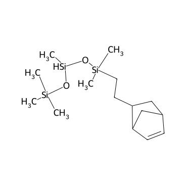 C[SiH](O[Si](C)(C)C)O[Si](C)(C)CCC1CC2C=CC1C2